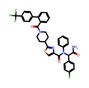 NC(=O)C(c1ccc(F)cc1)N(C(=O)c1csc(C2CCN(C(=O)c3ccccc3-c3ccc(C(F)(F)F)cc3)CC2)n1)c1ccccc1